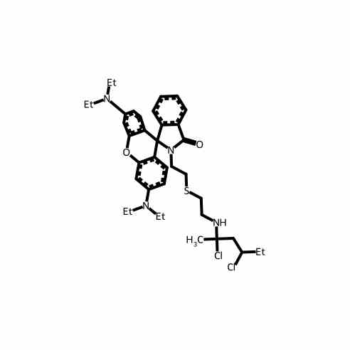 CCC(Cl)CC(C)(Cl)NCCSCCN1C(=O)c2ccccc2C12c1ccc(N(CC)CC)cc1Oc1cc(N(CC)CC)ccc12